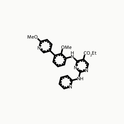 CCOC(=O)c1cnc(Nc2ccccn2)nc1Nc1cccc(-c2ccc(OC)nc2)c1OC